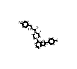 C[C@@H]1CN(c2ncnc3cc(-c4ccc(F)cc4)sc23)CCN1C(=O)NCc1ccc(F)cc1